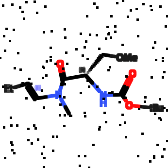 CC/C=C/N(C)C(=O)[C@H](COC)NC(=O)OC(C)(C)C